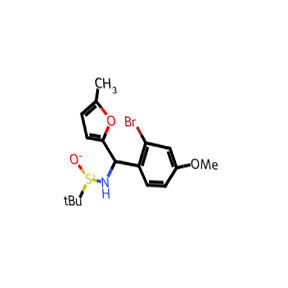 COc1ccc(C(N[S+]([O-])C(C)(C)C)c2ccc(C)o2)c(Br)c1